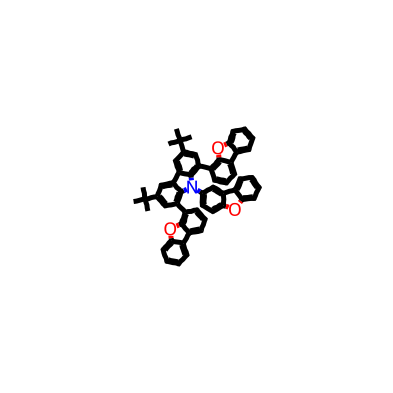 CC(C)(C)c1cc(-c2cccc3c2oc2ccccc23)c2c(c1)c1cc(C(C)(C)C)cc(-c3cccc4c3oc3ccccc34)c1n2-c1ccc2oc3ccccc3c2c1